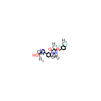 Cc1ccc(-c2ccnc(C(C)(C)O)n2)cc1-n1c(C)nc(OCc2ccc(F)c(C)c2F)c(C)c1=O